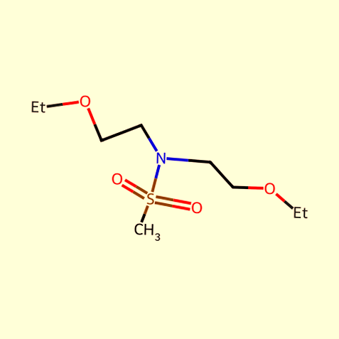 CCOCCN(CCOCC)S(C)(=O)=O